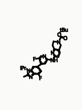 Cc1nc2c(F)cc(-c3cc(Nc4ccc5c(n4)CCN(C(=O)OC(C)(C)C)C5)ncc3F)cc2n1C(C)C